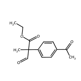 CCOC(=O)C(C)(C=O)c1ccc(C(C)=O)cc1